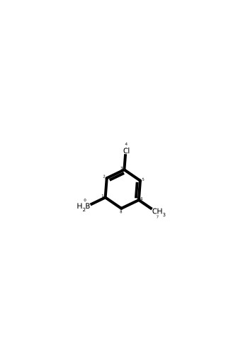 BC1C=C(Cl)C=C(C)C1